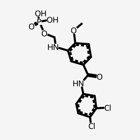 COc1ccc(C(=O)Nc2ccc(Cl)c(Cl)c2)cc1NCOP(=O)(O)O